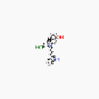 C[C@H]1C[C@@H]2C(=CCC3C(O)=CC=CC32)N(CCCCc2c[nH]c3ccccc23)C1.Cl